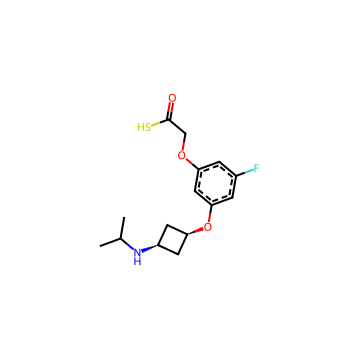 CC(C)N[C@H]1C[C@@H](Oc2cc(F)cc(OCC(=O)S)c2)C1